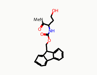 CNC(=O)C(CCO)NC(=O)OCC1c2ccccc2-c2ccccc21